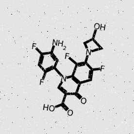 Nc1cc(-n2cc(C(=O)O)c(=O)c3cc(F)c(N4CC(O)C4)c(F)c32)c(F)cc1F